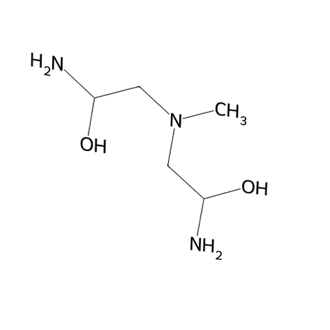 CN(CC(N)O)CC(N)O